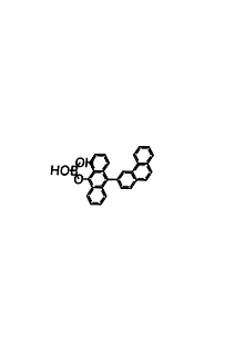 OB(O)Oc1c2ccccc2c(-c2ccc3ccc4ccccc4c3c2)c2ccccc12